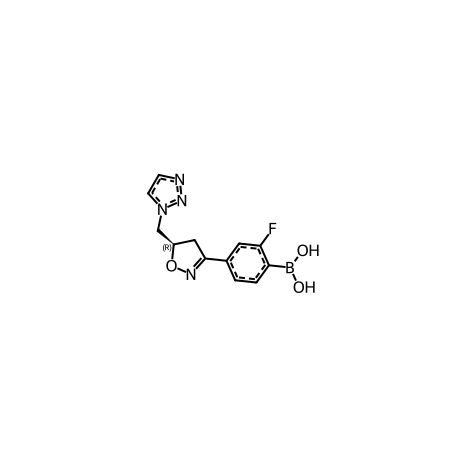 OB(O)c1ccc(C2=NO[C@@H](Cn3ccnn3)C2)cc1F